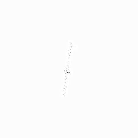 C=CCC(O)CCCCCCCCCCCCCCCCC(=O)C(CCCCCCCCCCCCCCCC)C(=O)O